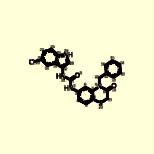 O=C(Nc1ccc2c(c1)N(Cc1ccccc1)C(=O)CS2)Nc1c[nH]c2ccc(Cl)cc12